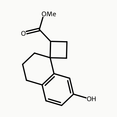 COC(=O)C1CCC12CCCc1ccc(O)cc12